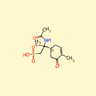 CC(=O)NC(C)(CS(=O)(=O)O)[C@H]1CC=C(C)C(=O)C1